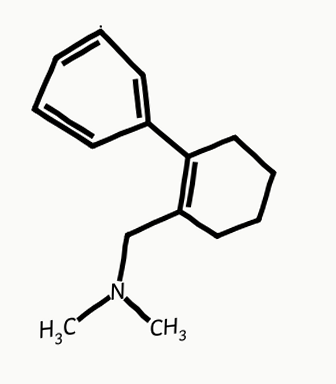 CN(C)CC1=C(c2c[c]ccc2)CCCC1